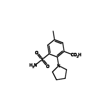 Cc1cc(C(=O)O)c(N2CCCC2)c(S(N)(=O)=O)c1